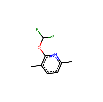 Cc1ccc(C)c(OC(F)F)n1